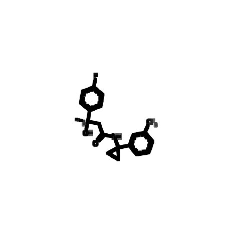 C[C@@](O)(CC(=O)NC1(c2cccc(C(F)(F)F)c2)CC1)c1ccc(F)cc1